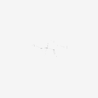 CC(C)C1OC1(C(=O)OCl)C(C)(C)C